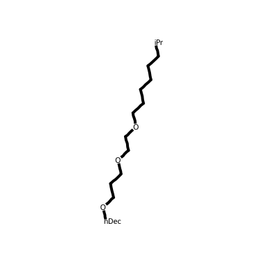 CCCCCCCCCCOCCCOCCOCCCCCCC(C)C